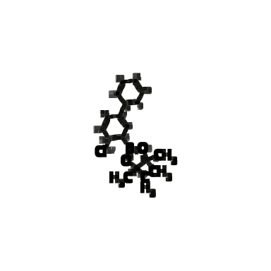 CC1(C)OB(c2cc(-c3ccccc3)ccc2Cl)OC1(C)C